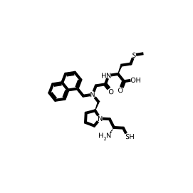 CSCC[C@H](NC(=O)CN(Cc1cccc2ccccc12)C[C@@H]1CCCN1C[C@@H](N)CS)C(=O)O